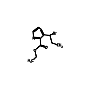 CCOC(=O)c1ncccc1C(Br)CC